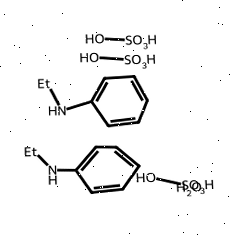 CCNc1ccccc1.CCNc1ccccc1.O.O=S(=O)(O)O.O=S(=O)(O)O.O=S(=O)(O)O